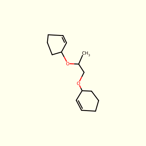 CC(COC1C=CCCC1)OC1C=CCCC1